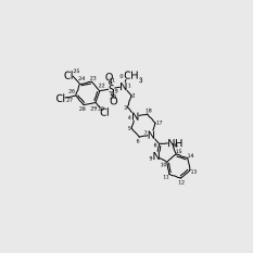 CN(CCN1CCN(c2nc3ccccc3[nH]2)CC1)S(=O)(=O)c1cc(Cl)c(Cl)cc1Cl